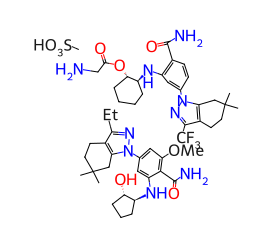 CC1(C)CCc2c(C(F)(F)F)nn(-c3ccc(C(N)=O)c(N[C@H]4CCCC[C@@H]4OC(=O)CN)c3)c2C1.CCc1nn(-c2cc(N[C@H]3CCC[C@@H]3O)c(C(N)=O)c(OC)c2)c2c1CCC(C)(C)C2.CS(=O)(=O)O